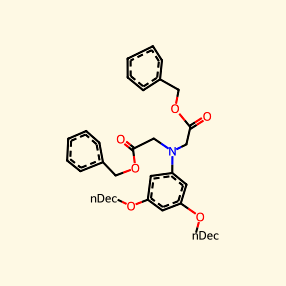 CCCCCCCCCCOc1cc(OCCCCCCCCCC)cc(N(CC(=O)OCc2ccccc2)CC(=O)OCc2ccccc2)c1